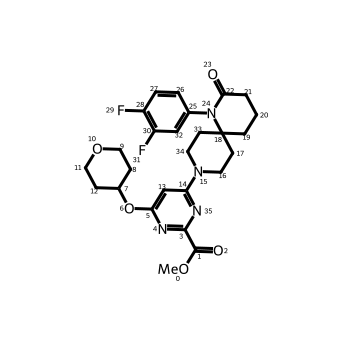 COC(=O)c1nc(OC2CCOCC2)cc(N2CCC3(CCCC(=O)N3c3ccc(F)c(F)c3)CC2)n1